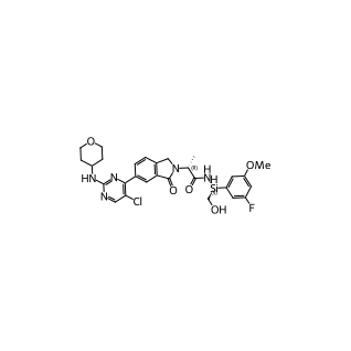 COc1cc(F)cc([Si@@H](CO)NC(=O)[C@@H](C)N2Cc3ccc(-c4nc(NC5CCOCC5)ncc4Cl)cc3C2=O)c1